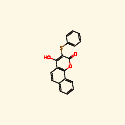 O=c1oc2c(ccc3ccccc32)c(O)c1Sc1ccccc1